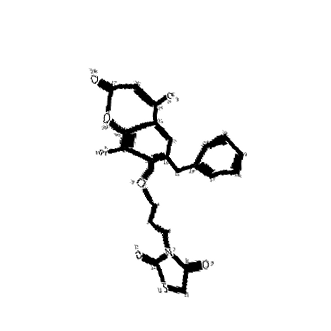 CCCc1c(OCCCN2C(=O)CSC2=O)c(Cc2ccccc2)cc2c(C(F)(F)F)cc(=O)oc12